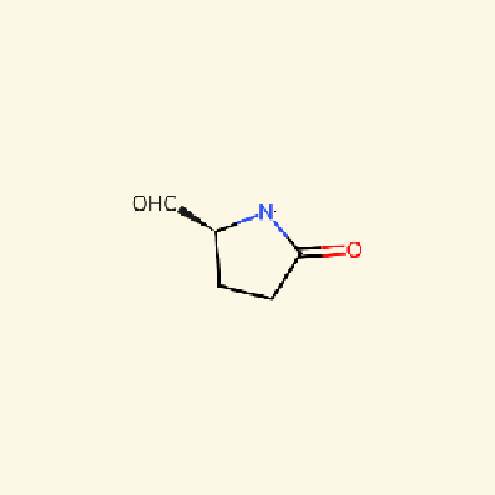 O=C[C@@H]1CCC(=O)[N]1